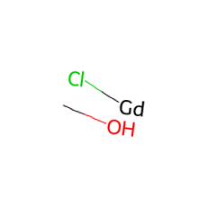 CO.[Cl][Gd]